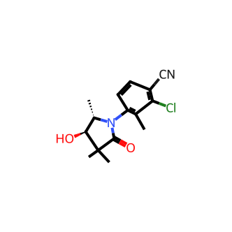 Cc1c(N2C(=O)C(C)(C)[C@@H](O)[C@@H]2C)ccc(C#N)c1Cl